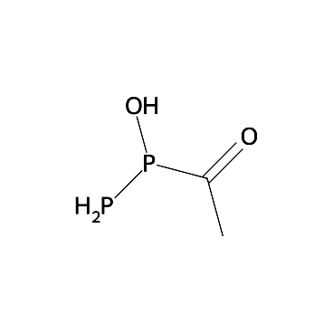 CC(=O)P(O)P